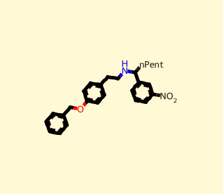 CCCCCC(NCCc1ccc(OCc2ccccc2)cc1)c1cccc([N+](=O)[O-])c1